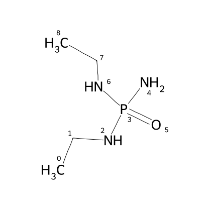 CCNP(N)(=O)NCC